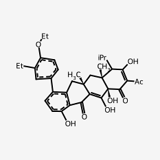 CCOc1ccc(-c2ccc(O)c3c2C[C@]2(C)C[C@]4(C)C(C(C)C)C(O)=C(C(C)=O)C(=O)[C@]4(O)C(O)=C2C3=O)cc1CC